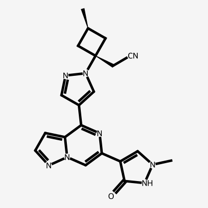 Cn1cc(-c2cn3nccc3c(-c3cnn([C@]4(CC#N)C[C@@H](C)C4)c3)n2)c(=O)[nH]1